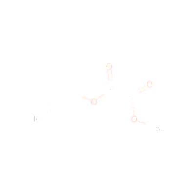 C#CCOC(=O)C(=O)OC(C)CC